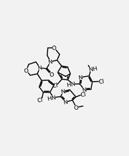 CNc1nc(NC2=C3C=C(C4COCCN4C(=O)N4CCOCC4c4ccc(Nc5ncc(Cl)c(OC)n5)c(Cl)c4)C(=C2Cl)C3)ncc1Cl